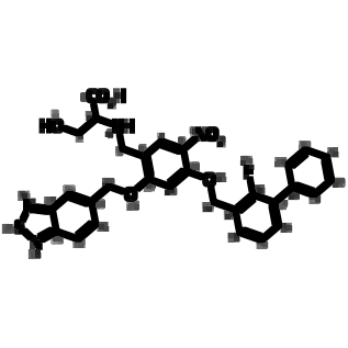 O=C(O)C(CO)NCc1cc([N+](=O)[O-])c(OCc2cccc(-c3ccccc3)c2F)cc1OCc1ccc2nsnc2c1